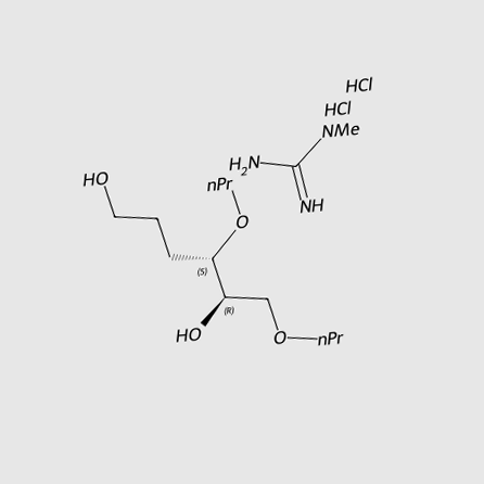 CCCOC[C@@H](O)[C@H](CCCO)OCCC.CNC(=N)N.Cl.Cl